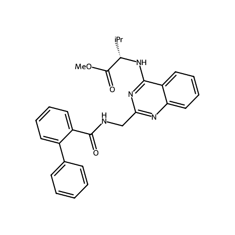 COC(=O)[C@@H](Nc1nc(CNC(=O)c2ccccc2-c2ccccc2)nc2ccccc12)C(C)C